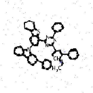 C/C=C/C(=C\C(=C/C)c1nc(-c2ccccc2)nc(-c2cc(-n3c4ccccc4c4ccc(-c5ccccc5)cc43)cc3c4c(sc23)=CCCC=4)n1)c1c#cccc1